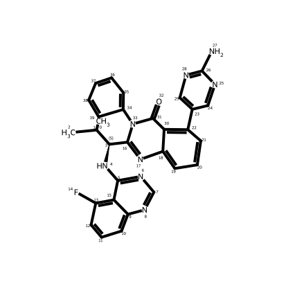 CC(C)[C@H](Nc1ncnc2cccc(F)c12)c1nc2cccc(-c3cnc(N)nc3)c2c(=O)n1-c1ccccc1